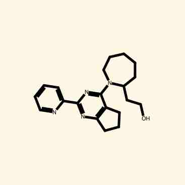 OCCC1CCCCCN1c1nc(-c2ccccn2)nc2c1CCC2